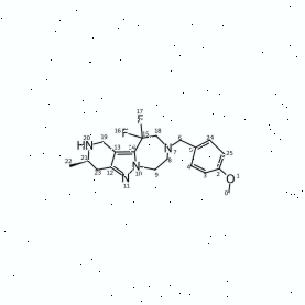 COc1ccc(CN2CCn3nc4c(c3C(F)(F)C2)CN[C@H](C)C4)cc1